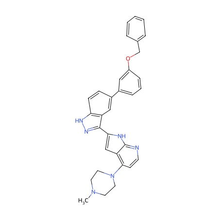 CN1CCN(c2ccnc3[nH]c(-c4n[nH]c5ccc(-c6cccc(OCc7ccccc7)c6)cc45)cc23)CC1